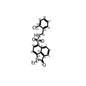 CCN1C(=O)c2cccc3c(S(=O)(=O)NCc4ccccc4Cl)ccc1c23